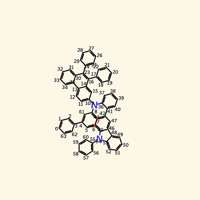 c1ccc(-c2cccc(N(c3ccc4c(c3)c(-c3ccccc3)c(-c3ccccc3)c3ccccc34)c3ccccc3-c3ccc4c(c3)c3ccccc3n4-c3ccccc3)c2)cc1